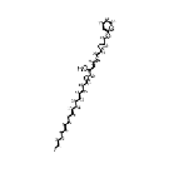 CCCCCCCCCCCCCCCCCCOCC(O)CCSCCOCCOC1CCCCO1